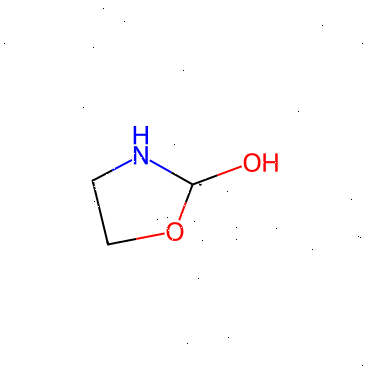 O[C]1NCCO1